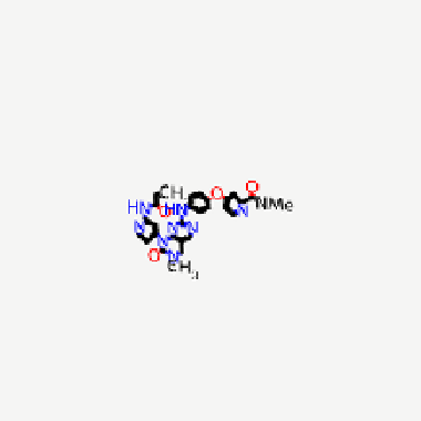 C=CC(=O)Nc1cc(N2C(=O)N(C)Cc3cnc(Nc4ccc(Oc5ccnc(C(=O)NC)c5)cc4)nc32)ccn1